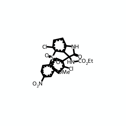 CCOC(=O)NC1(c2ccccc2Cl)C(=O)Nc2ccc(Cl)c(S(=O)(=O)c3ccc([N+](=O)[O-])cc3OC)c21